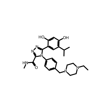 CCN1CCN(Cc2ccc(-n3c(C(=O)NC)nnc3-c3cc(C(C)C)c(O)cc3O)cc2)CC1